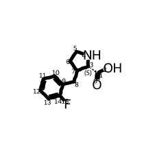 O=C(O)[C@H]1NCCC1Cc1ccccc1F